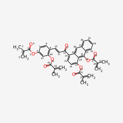 C=C(C)C(=O)Oc1ccc(/C=C/C(=O)c2ccc(OC(=O)C(=C)C)c3c(OC(=O)C(=C)C)c4ccccc4cc23)c(OC(=O)C(=C)C)c1